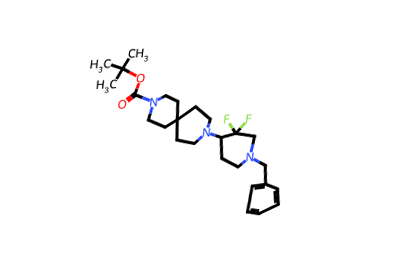 CC(C)(C)OC(=O)N1CCC2(CC1)CCN(C1CCN(Cc3ccccc3)CC1(F)F)CC2